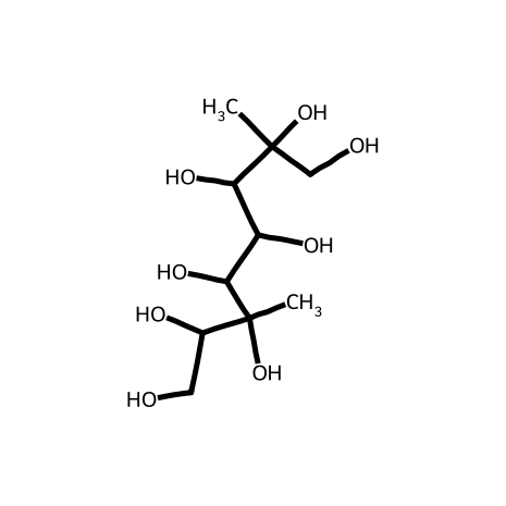 CC(O)(CO)C(O)C(O)C(O)C(C)(O)C(O)CO